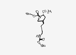 CC(C)(C)OC(=O)NCCCC1C[C@@H](C(=O)O)N(C(=O)OC(C)(C)C)C1